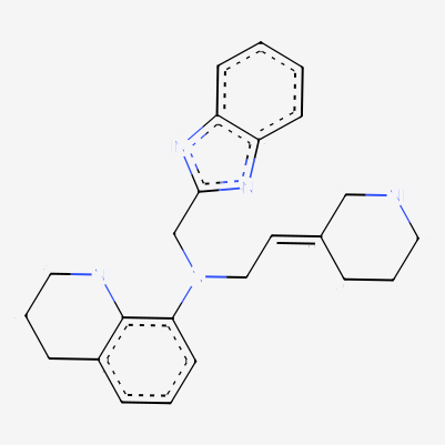 C(CN(Cc1nc2ccccc2[nH]1)c1cccc2c1NCCC2)=C1CCCNC1